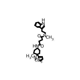 CN(CCc1c[nH]c2ccccc12)C(=O)CCC(=O)NC1CCC(c2cccs2)(N(C)C)CC1